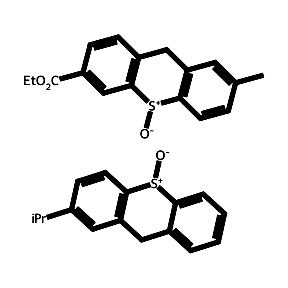 CC(C)c1ccc2c(c1)Cc1ccccc1[S+]2[O-].CCOC(=O)c1ccc2c(c1)[S+]([O-])c1ccc(C)cc1C2